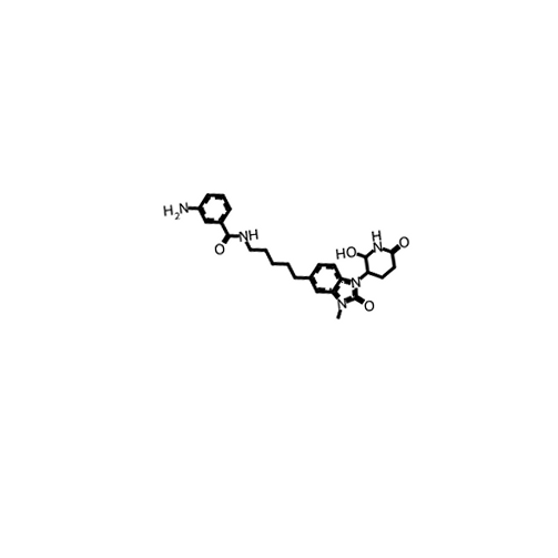 Cn1c(=O)n(C2CCC(=O)NC2O)c2ccc(CCCCCNC(=O)c3cccc(N)c3)cc21